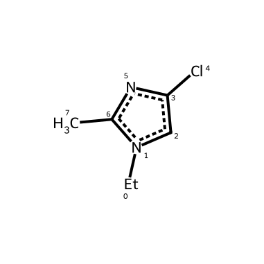 CCn1cc(Cl)nc1C